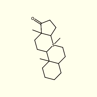 CC12CCC3C4(C)CCCCC4CCS3(C)C1CCC2=O